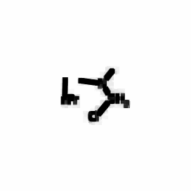 CCCC.CN(C)[SiH2]Cl